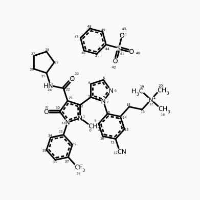 Cn1c(-c2ccnn2-c2ccc(C#N)cc2CC[N+](C)(C)C)c(C(=O)NC2CCCC2)c(=O)n1-c1cccc(C(F)(F)F)c1.O=S(=O)([O-])c1ccccc1